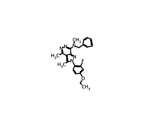 CCOc1ccc(-n2nc3c(N(C)Cc4ccccc4)nnc(C)c3c2C)c(F)c1